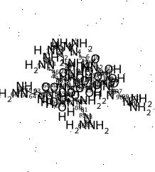 NC(N)=NCCC[C@H](N)C(=O)NC[C@@H]1OC(O[C@H]2[C@@H](O)[C@H](O[C@@H]3[C@@H](O)[C@H](NC(=O)[C@@H](N)CCCN=C(N)N)C[C@H](NC(=O)[C@@H](N)CCCN=C(N)N)[C@H]3O[C@H]3O[C@H](CNC(=O)[C@@H](N)CCCN=C(N)N)[C@@H](O)[C@H](O)[C@H]3NC(=O)[C@@H](N)CCCN=C(N)N)O[C@@H]2CO)[C@H](NC(=O)[C@@H](N)CCCN=C(N)N)[C@@H](O)[C@@H]1O